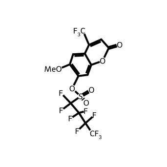 COc1cc2c(C(F)(F)F)cc(=O)oc2cc1OS(=O)(=O)C(F)(F)C(F)(F)C(F)(F)C(F)(F)F